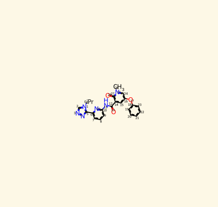 CC(C)n1cnnc1-c1cccc(NC(=O)c2cc(Oc3ccccc3)cn(C)c2=O)n1